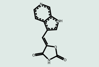 O=C1NC(=O)/C(=C/c2c[nH]c3cnccc23)O1